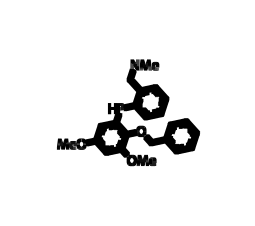 CNCc1ccccc1Pc1cc(OC)cc(OC)c1OCc1ccccc1